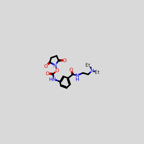 CCN(CC)CCNC(=O)c1cccc(NC(=O)ON2C(=O)CCC2=O)c1